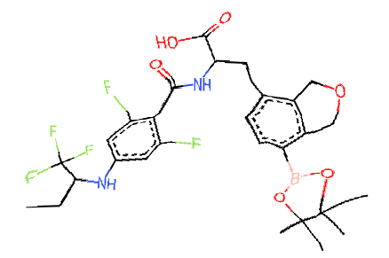 CCC(Nc1cc(F)c(C(=O)NC(Cc2ccc(B3OC(C)(C)C(C)(C)O3)c3c2COC3)C(=O)O)c(F)c1)C(F)(F)F